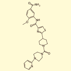 COc1ccc(C(N)=O)cc1NC(=O)c1csc(C2CCN(C(=O)N3CCN(c4ccccn4)CC3)CC2)n1